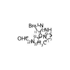 Cc1csc(Nc2ncc(Br)cc2OC2CCN(CC=O)C2)n1